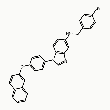 CC(C)c1ccc(CNc2ccc3c(c2)ncn3-c2ccc(Oc3ccc4ccccc4c3)cc2)cc1